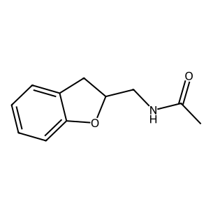 CC(=O)NCC1Cc2ccccc2O1